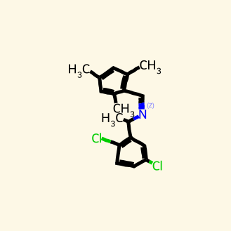 Cc1cc(C)c(/C=N\C(C)c2cc(Cl)ccc2Cl)c(C)c1